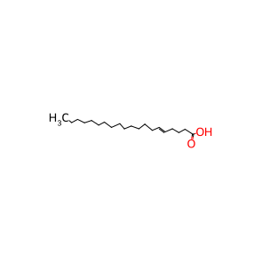 CCCCCCCCCCCCCC/C=C/CCCC(=O)O